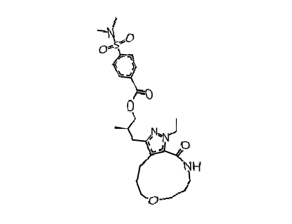 CCn1nc(C[C@@H](C)COC(=O)c2ccc(S(=O)(=O)N(C)C)cc2)c2c1C(=O)NCCCOCCC2